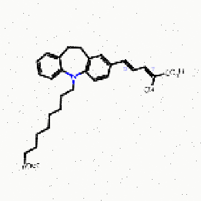 [C-]#[N+]/C(=C\C=C\c1ccc2c(c1)CCc1ccccc1N2CCCCCCCCCCCCCCCCCC)C(=O)O